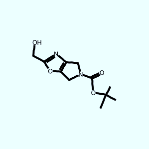 CC(C)(C)OC(=O)N1Cc2nc(CO)oc2C1